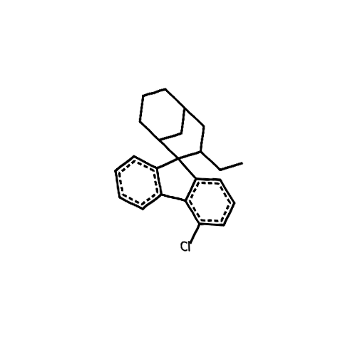 CCC1CC2CCCC(C2)C12c1ccccc1-c1c(Cl)cccc12